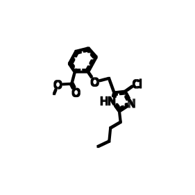 CCCCc1nc(Cl)c(COc2ccccc2C(=O)OC)[nH]1